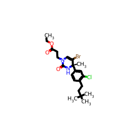 CCOC(=O)CCN1C=C(Br)[C@](C)(c2ccc(CCC(C)(C)C)c(Cl)c2)NC1=O